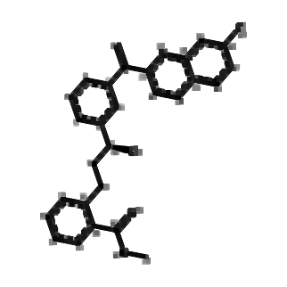 C=C(c1cccc([C@@H](Cl)CCc2ccccc2C(=O)OC)c1)c1ccc2ccc(Cl)cc2n1